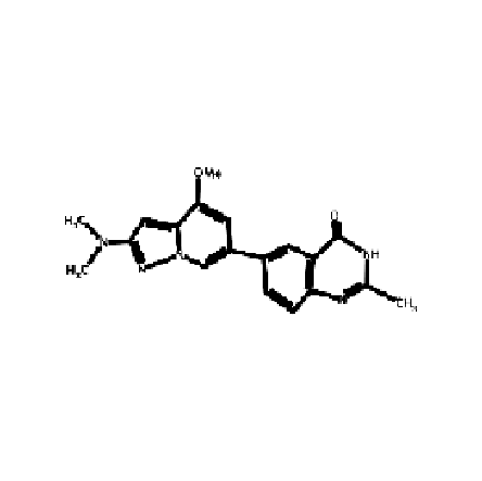 COc1cc(-c2ccc3nc(C)[nH]c(=O)c3c2)cn2nc(N(C)C)cc12